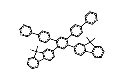 CC1(C)c2ccccc2-c2ccc(-c3cc(-c4ccc5c(c4)C(C)(C)c4ccccc4-5)c(-c4ccc(-c5cncnc5)cc4)cc3-c3ccc(-c4cncnc4)cc3)cc21